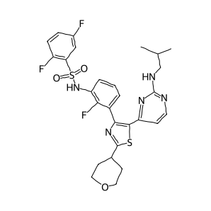 CC(C)CNc1nccc(-c2sc(C3CCOCC3)nc2-c2cccc(NS(=O)(=O)c3cc(F)ccc3F)c2F)n1